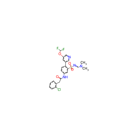 CN(C)/C=N/S(=O)(=O)c1cc(NC(=O)Cc2ccccc2Cl)ccc1-c1cncc(OC(F)F)c1